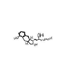 CCCCCC(O)C=C[C@@H]1[C@H]2Cc3cccc(O)c3C[C@H]2C[C@H]1O